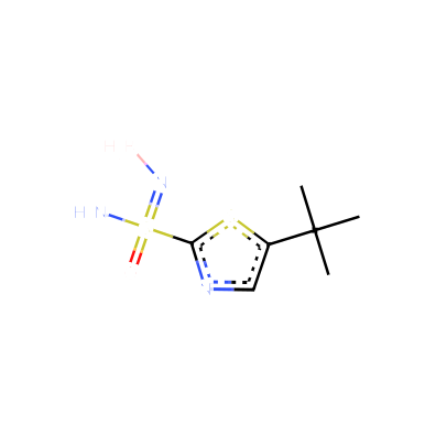 BN=S(N)(=O)c1ncc(C(C)(C)C)s1